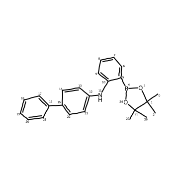 CC1(C)OB(c2ccccc2Nc2ccc(-c3ccccc3)cc2)OC1(C)C